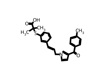 Cc1ccc(C(=O)c2ccn(C/C=C/c3cccc(SC(C)(C)C(=O)O)c3)c2)cc1